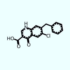 O=C(O)c1c[nH]c2cc(Cc3ccccc3)c(Cl)cc2c1=O